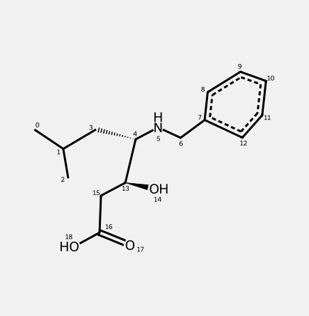 CC(C)C[C@H](NCc1ccccc1)[C@@H](O)CC(=O)O